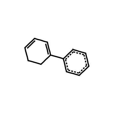 [c]1ccccc1C1=CC=CCC1